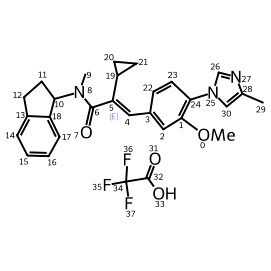 COc1cc(/C=C(/C(=O)N(C)C2CCc3ccccc32)C2CC2)ccc1-n1cnc(C)c1.O=C(O)C(F)(F)F